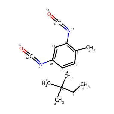 CCC(C)(C)C.Cc1ccc(N=C=O)cc1N=C=O